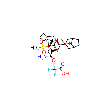 CC(C)(C(=O)N(CCN1C2CCC1CC(c1cccc(C(N)=O)c1)C2)CC1CCC1)S(C)(=O)=O.O=C(O)C(F)(F)F